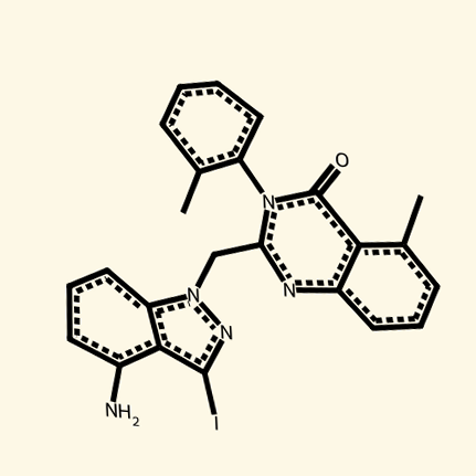 Cc1ccccc1-n1c(Cn2nc(I)c3c(N)cccc32)nc2cccc(C)c2c1=O